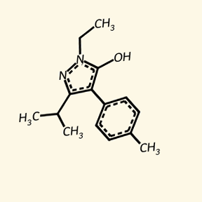 CCn1nc(C(C)C)c(-c2ccc(C)cc2)c1O